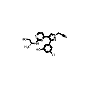 C[C@H](CO)Nc1nccc(-c2cn(CC#N)nc2-c2cc(O)cc(Cl)c2)n1